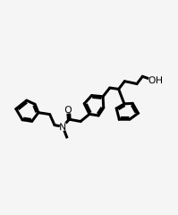 CN(CCc1ccccc1)C(=O)Cc1ccc(CC(CCCO)c2ccccc2)cc1